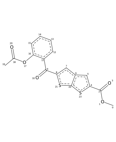 COC(=O)c1cc2cc(C(=O)c3ccccc3OC(C)=O)sc2s1